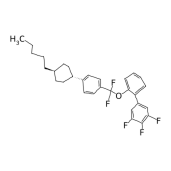 CCCCC[C@H]1CC[C@H](c2ccc(C(F)(F)Oc3ccccc3-c3cc(F)c(F)c(F)c3)cc2)CC1